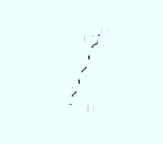 CC(C)(C)CNC(=O)COCCOCCOCCOCCOCC(=O)O